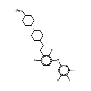 CCCCC[C@H]1CC[C@H](C2CCC(CCc3c(F)c[c]c(Oc4cc(F)c(F)c(F)c4)c3F)CC2)CC1